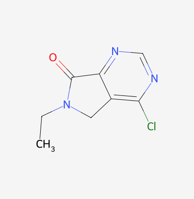 CCN1Cc2c(Cl)ncnc2C1=O